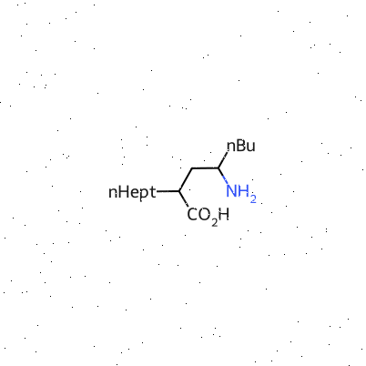 CCCCCCCC(CC(N)CCCC)C(=O)O